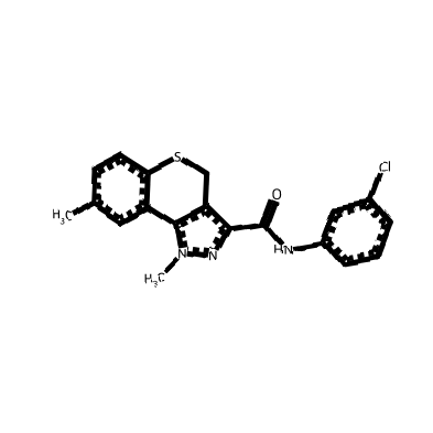 Cc1ccc2c(c1)-c1c(c(C(=O)Nc3cccc(Cl)c3)nn1C)CS2